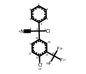 N#CC(Cl)(c1ccccc1)c1ccc(Cl)c(C(F)(F)F)c1